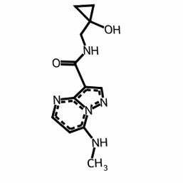 CNc1ccnc2c(C(=O)NCC3(O)CC3)cnn12